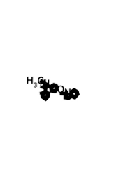 Cn1cc(-c2ccccc2)c(-c2ccc(OCc3ccc4ccccc4n3)cc2)n1